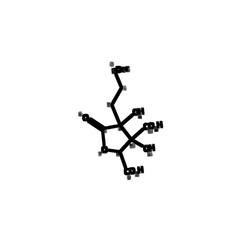 CCCCCCCCCCCCC1(O)C(=O)OC(C(=O)O)C1(O)C(=O)O